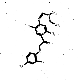 CCN(C)/C=N\c1cc(C)c(C(=O)COc2ccc(C)cc2Br)cc1Cl